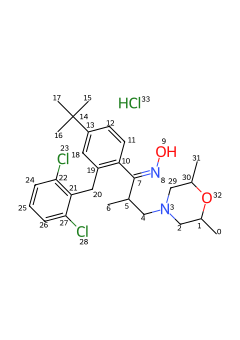 CC1CN(CC(C)C(=NO)c2ccc(C(C)(C)C)cc2Cc2c(Cl)cccc2Cl)CC(C)O1.Cl